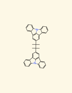 CC(C)(c1cc2c3ccccc3n3c4ccccc4c(c1)c23)C(C)(C)c1cc2c3ccccc3n3c4ccccc4c(c1)c23